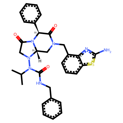 CC(C)N(C(=O)NCc1ccccc1)N1CC(=O)N2[C@@H](c3ccccc3)C(=O)N(Cc3cccc4sc(N)nc34)C[C@@H]21